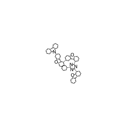 c1ccc(-c2nc(-c3cccc4c3oc3ccccc34)nc(-c3cccc4oc5ccc(-c6cccc7oc8cc(-n9c%10ccccc%10c%10ccccc%109)ccc8c67)cc5c34)n2)cc1